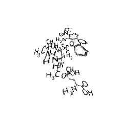 CCNc1nc(NC(C)(C)C)nc(SC)n1.CP(=O)(O)CCC(N)C(=O)O.Nc1c([N+](=O)[O-])ccc(Oc2ccccc2)c1Cl